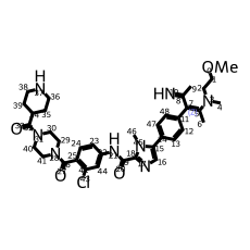 COCCN(C)/C(C)=C(\C(C)=N)c1ccc(-c2cnc(C(=O)Nc3ccc(C(=O)N4CCN(C(=O)C5CCNCC5)CC4)c(Cl)c3)n2C)cc1